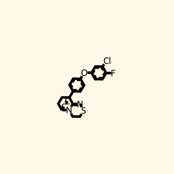 Fc1ccc(Oc2ccc(C34CCC(CC3)N3CCSN=C34)cc2)cc1Cl